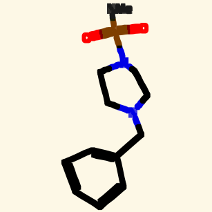 CNS(=O)(=O)N1CCN(Cc2ccccc2)CC1